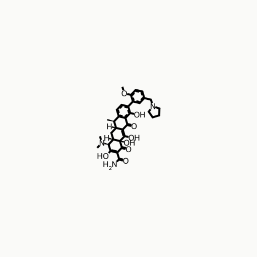 COc1ccc(CN2CCCC2)cc1-c1ccc2c(c1O)C(=O)C1=C(O)[C@]3(O)C(=O)C(C(N)=O)=C(O)[C@@H](N(C)C)[C@@H]3C[C@@H]1[C@H]2C